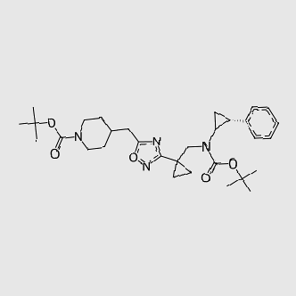 CC(C)(C)OC(=O)N1CCC(Cc2nc(C3(CN(C(=O)OC(C)(C)C)C4C[C@@H]4c4ccccc4)CC3)no2)CC1